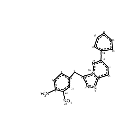 Nc1ccc(Cc2nnc3ccc(-c4ccccc4)nn23)cc1[N+](=O)[O-]